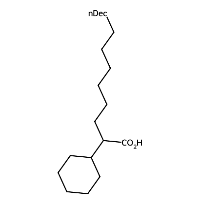 CCCCCCCCCCCCCCCCC(C(=O)O)C1CCCCC1